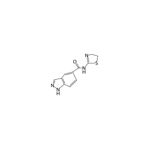 O=C(NC1=NCCS1)c1ccc2[nH]ncc2c1